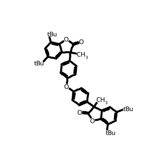 CC(C)(C)c1cc(C(C)(C)C)c2c(c1)C(C)(c1ccc(Oc3ccc(C4(C)C(=O)Oc5c(C(C)(C)C)cc(C(C)(C)C)cc54)cc3)cc1)C(=O)O2